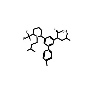 Cc1ccc(-c2cc(C(CC(C)C)C(=O)O)cc(C3CCCC(C(F)(F)F)N3CCC(C)C)c2)cc1